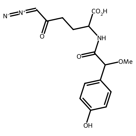 COC(C(=O)NC(CCC(=O)C=[N+]=[N-])C(=O)O)c1ccc(O)cc1